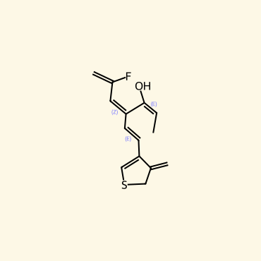 C=C(F)/C=C(/C=C/C1=CSCC1=C)C(\O)=C/C